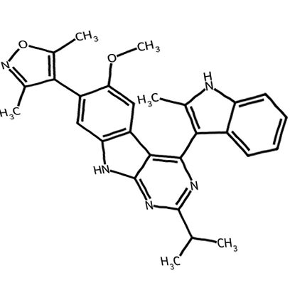 COc1cc2c(cc1-c1c(C)noc1C)[nH]c1nc(C(C)C)nc(-c3c(C)[nH]c4ccccc34)c12